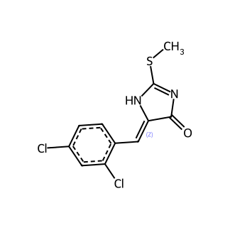 CSC1=NC(=O)/C(=C/c2ccc(Cl)cc2Cl)N1